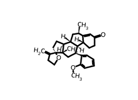 C=C1CCO[C@@]12CC[C@H]1[C@@H]3C[C@@H](C)C4=CC(=O)CC[C@@H]4[C@H]3[C@@H](c3ccccc3OC)C[C@@]12C